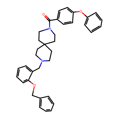 O=C(c1ccc(Oc2ccccc2)cc1)N1CCC2(CCN(Cc3ccccc3OCc3ccccc3)CC2)CC1